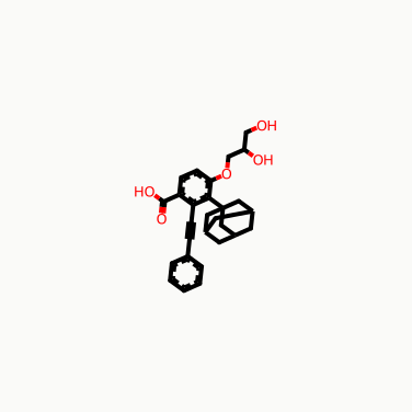 O=C(O)c1ccc(OCC(O)CO)c(C23CC4CC(CC(C4)C2)C3)c1C#Cc1ccccc1